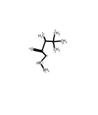 BBCC(=O)C(C)C(C)(C)C